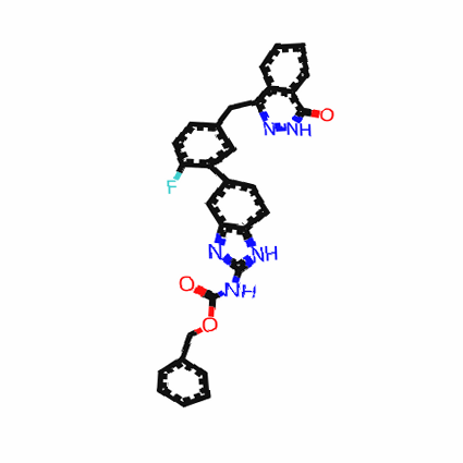 O=C(Nc1nc2cc(-c3cc(Cc4n[nH]c(=O)c5ccccc45)ccc3F)ccc2[nH]1)OCc1ccccc1